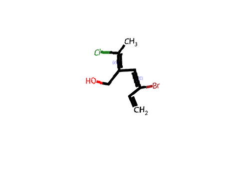 C=C/C(Br)=C\C(CO)=C(/C)Cl